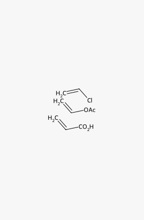 C=CC(=O)O.C=CCl.C=COC(C)=O